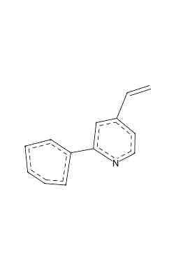 C=Cc1ccnc(-c2ccccc2)c1